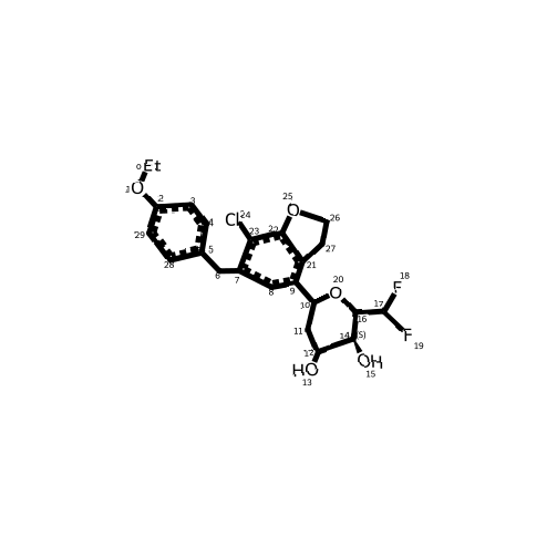 CCOc1ccc(Cc2cc(C3CC(O)[C@H](O)C(C(F)F)O3)c3c(c2Cl)OCC3)cc1